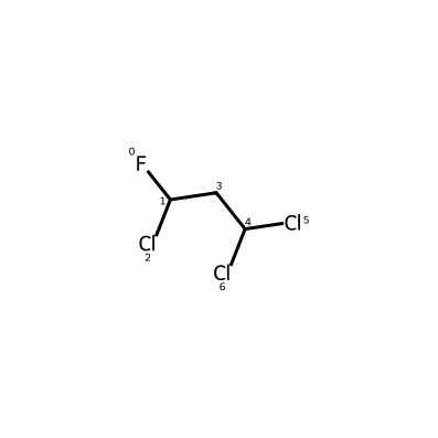 FC(Cl)CC(Cl)Cl